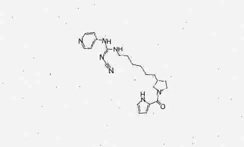 N#CN=C(NCCCCCCC1CCN(C(=O)c2ccc[nH]2)C1)Nc1ccncc1